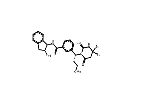 CCC1(CC)CC(=O)N([C@H](CCOC)c2cccc(C(=O)N[C@@H]3c4ccccc4C[C@@H]3O)c2)C(=N)N1